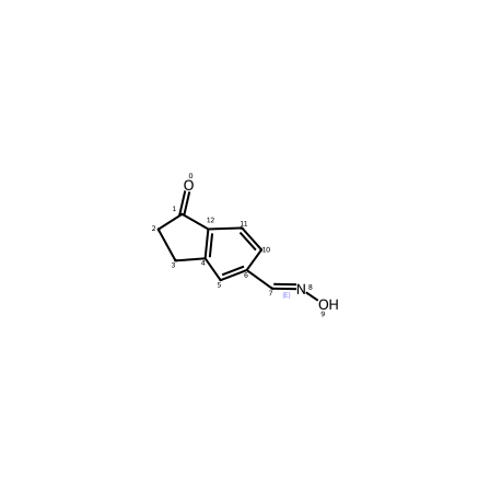 O=C1CCc2cc(/C=N/O)ccc21